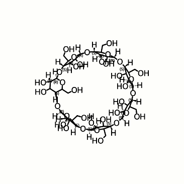 OCC1O[C@@H]2O[C@@H]3C(CO)O[C@H](O[C@@H]4C(CO)O[C@H](O[C@@H]5C(CO)O[C@H](O[C@@H]6C(CO)O[C@@H](O[C@@H]7C(CO)O[C@@H](O[C@@H]8C(CO)O[C@@H](O[C@H]1C(O)[C@@H]2O)[C@@H](O)C8O)[C@@H](O)C7O)[C@@H](O)C6O)C(O)[C@H]5O)C(O)[C@H]4O)[C@@H](O)C3O